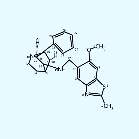 COc1cc2sc(C)nc2cc1CN[C@H]1C2CCN(CC2)[C@H]1c1ccccc1